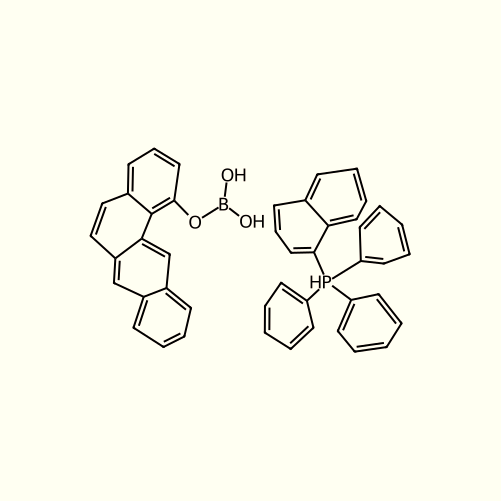 OB(O)Oc1cccc2ccc3cc4ccccc4cc3c12.c1ccc([PH](c2ccccc2)(c2ccccc2)c2cccc3ccccc23)cc1